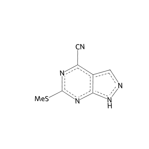 CSc1nc(C#N)c2cn[nH]c2n1